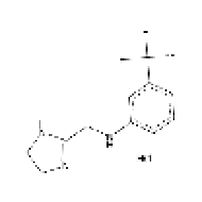 Cl.FC(F)(F)c1cccc(NCC2=NCCN2)c1